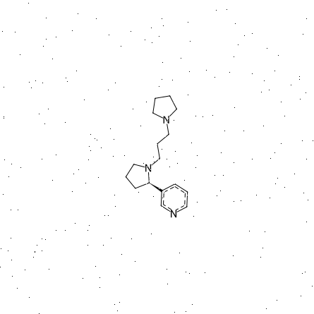 c1cncc([C@H]2CCCN2CCCN2CCCC2)c1